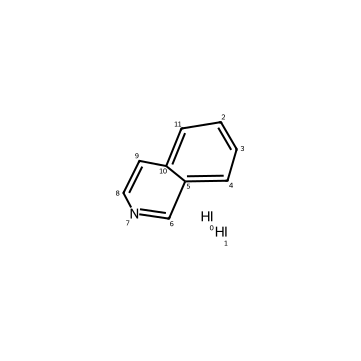 I.I.c1ccc2cnccc2c1